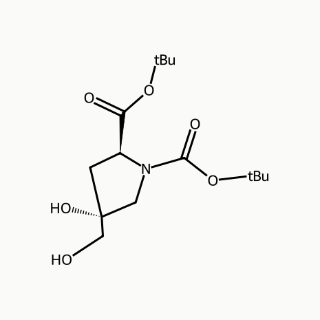 CC(C)(C)OC(=O)[C@@H]1C[C@](O)(CO)CN1C(=O)OC(C)(C)C